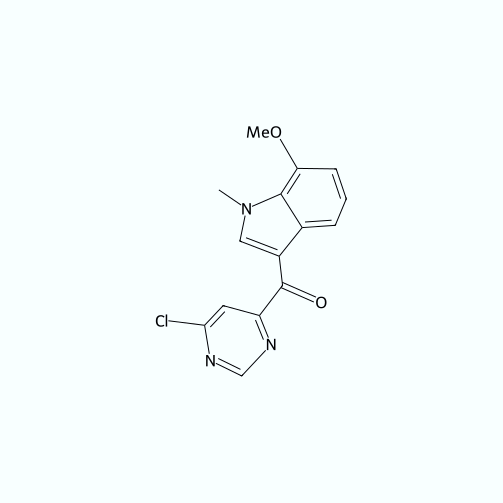 COc1cccc2c(C(=O)c3cc(Cl)ncn3)cn(C)c12